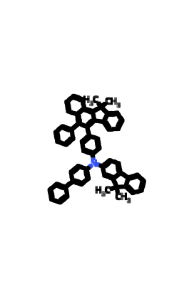 CC1(C)c2ccccc2-c2ccc(N(c3ccc(-c4ccccc4)cc3)c3ccc(-c4c5c(c6ccccc6c4-c4ccccc4)C(C)(C)c4ccccc4-5)cc3)cc21